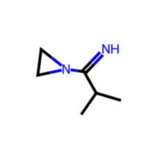 CC(C)C(=N)N1CC1